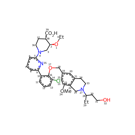 CCO[C@H]1CN(c2cccc(-c3cccc(Cl)c3OCc3cc4c(c(OC)c3)CN(C(CC)CCO)CC4)n2)CC[C@H]1C(=O)O